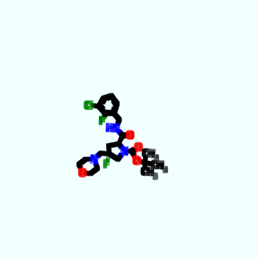 CC(C)(C)OC(=O)N1C[C@@](F)(CN2CCOCC2)C[C@H]1C(=O)NCc1cccc(Cl)c1F